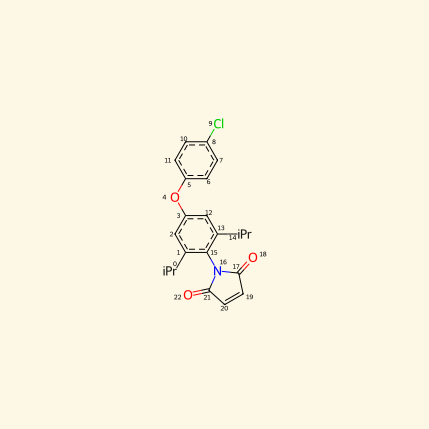 CC(C)c1cc(Oc2ccc(Cl)cc2)cc(C(C)C)c1N1C(=O)C=CC1=O